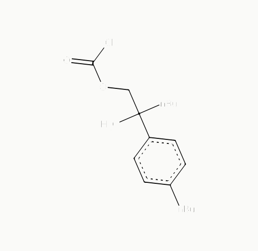 CCCCc1ccc(C(C)(CCCC)COC(=O)Cl)cc1